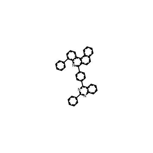 c1ccc(-c2nc(-c3ccc(-c4nc5c(-c6ccccc6)cccc5c5c4ccc4ccccc45)cc3)c3ccccc3n2)cc1